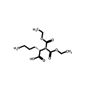 CCOC(=O)N(C(=O)OCC)[C@@H](CCCN)C(=O)O